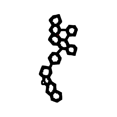 c1ccc(-c2c3ccccc3c(-c3ccc(-c4ccc5oc6cc7ccccc7cc6c5c4)cc3)c3ccccc23)c(-c2cccc3ccccc23)c1